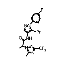 Cc1nc(C(F)(F)F)nn1C(C)C(=O)Nc1cnn(-c2ccc(F)cc2)c1C(C)C